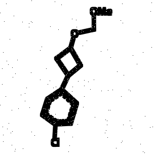 COCO[C]1CC(c2ccc(Cl)cc2)C1